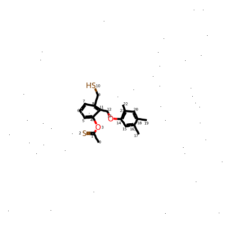 CC(=S)Oc1cccc(CS)c1COc1cc(C)c(C)cc1C